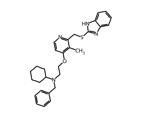 Cc1c(OCCN(Cc2ccccc2)C2CCCCC2)ccnc1CSc1nc2ccccc2[nH]1